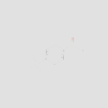 CS(=O)(=O)c1ccc(S(=O)O)cc1